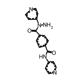 NN(C(=O)c1ccc(C(=O)Nc2ccncc2)cc1)c1ccncc1